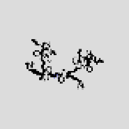 CCCn1cnc2c1c(=O)n(CCCCC(C)(C#CCN(C)C)OC(=O)/C=C/C(=O)OC(C)(C#CCN(C)C)CCCCn1c(=O)c3c(ncn3CCC)n(CC)c1=O)c(=O)n2CC